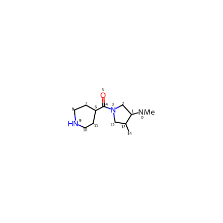 CNC1CN(C(=O)C2CCNCC2)CC1C